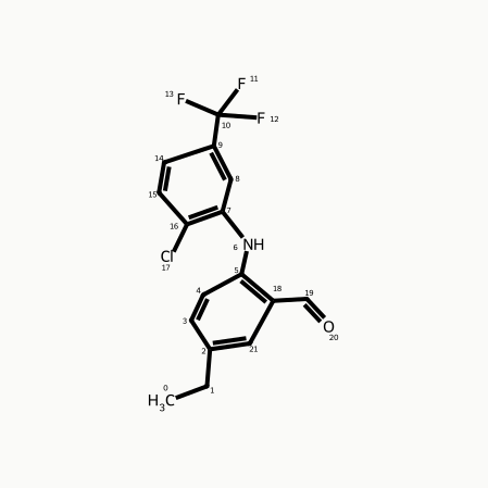 CCc1ccc(Nc2cc(C(F)(F)F)ccc2Cl)c(C=O)c1